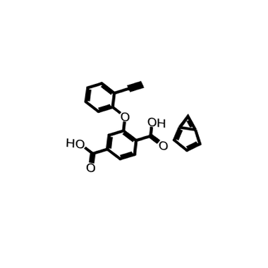 C#Cc1ccccc1Oc1cc(C(=O)O)ccc1C(=O)O.c1cc2cc-2c1